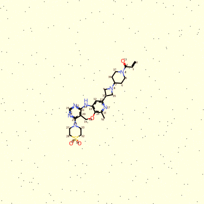 C=CC(=O)N1CCC(N2CC(c3cc4c(c(C)n3)OCc3c(ncnc3N3CCS(=O)(=O)CC3)N4)C2)CC1